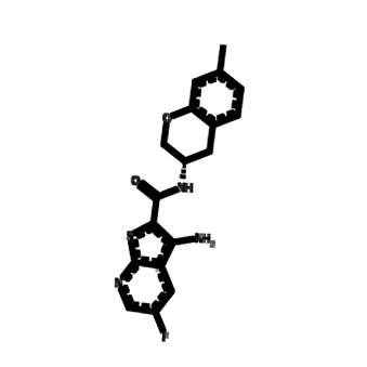 Cc1ccc2c(c1)OC[C@@H](NC(=O)c1sc3ncc(F)cc3c1N)C2